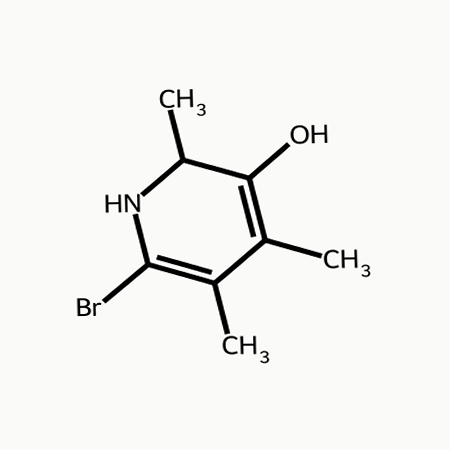 CC1=C(Br)NC(C)C(O)=C1C